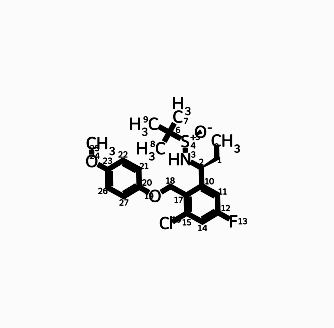 CC[C@H](N[S@+]([O-])C(C)(C)C)c1cc(F)cc(Cl)c1COc1ccc(OC)cc1